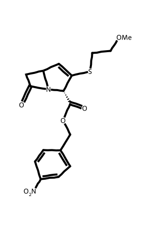 COCCSC1=CC2CC(=O)N2[C@H]1C(=O)OCc1ccc([N+](=O)[O-])cc1